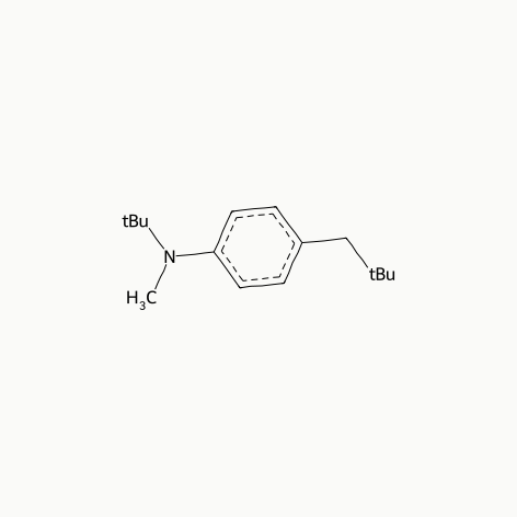 CN(c1ccc(CC(C)(C)C)cc1)C(C)(C)C